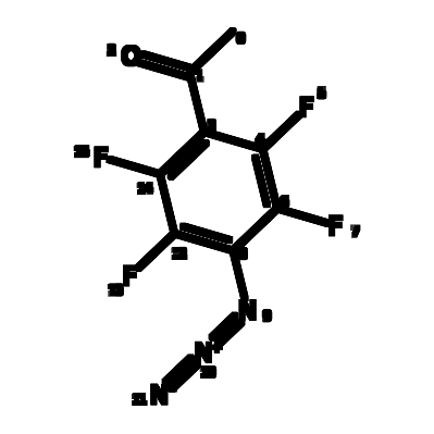 CC(=O)c1c(F)c(F)c(N=[N+]=[N-])c(F)c1F